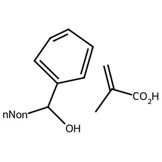 C=C(C)C(=O)O.CCCCCCCCCC(O)c1ccccc1